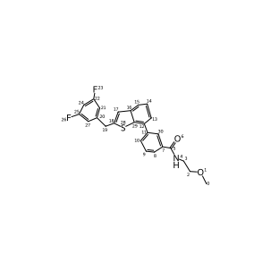 COCCNC(=O)c1cccc(-c2cccc3cc(Cc4cc(F)cc(F)c4)sc23)c1